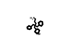 Br.NCCCC(Cc1ccccc1)(Cc1ccccc1)Cc1ccccc1